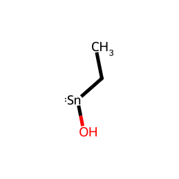 C[CH2][Sn][OH]